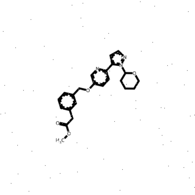 COC(=O)Cc1cccc(COc2ccc(-c3ccnn3C3CCCCO3)nc2)c1